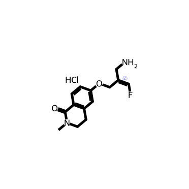 CN1CCc2cc(OC/C(=C\F)CN)ccc2C1=O.Cl